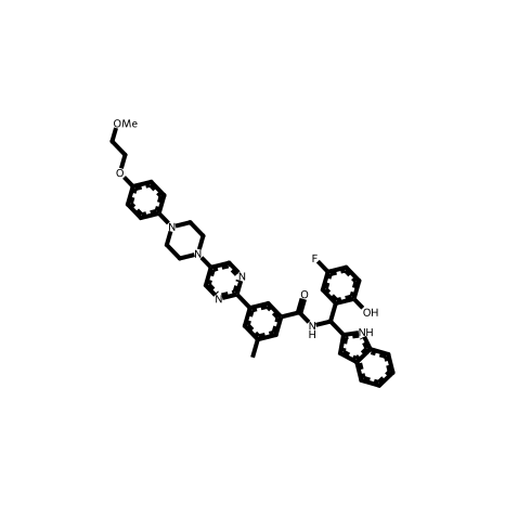 COCCOc1ccc(N2CCN(c3cnc(-c4cc(C)cc(C(=O)NC(c5cc6ccccc6[nH]5)c5cc(F)ccc5O)c4)nc3)CC2)cc1